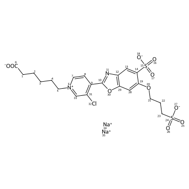 O=C([O-])CCCCC[n+]1ccc(-c2nc3cc(S(=O)(=O)[O-])c(OCCCS(=O)(=O)[O-])cc3o2)c(Cl)c1.[Na+].[Na+]